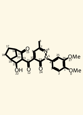 COc1ccc(-n2nc(C)cc(C(=O)C3C(=O)C4CCC(C4)C3O)c2=O)cc1OC